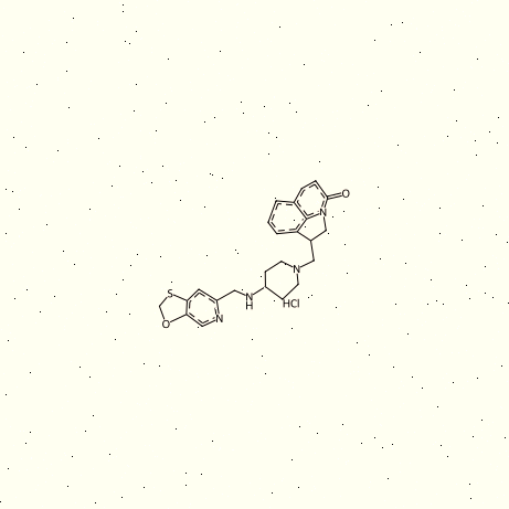 Cl.O=c1ccc2cccc3c2n1CC3CN1CCC(NCc2cc3c(cn2)OCS3)CC1